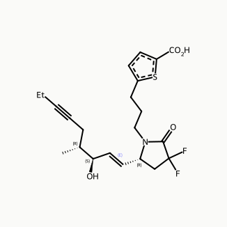 CCC#CC[C@@H](C)[C@H](O)/C=C/[C@H]1CC(F)(F)C(=O)N1CCCc1ccc(C(=O)O)s1